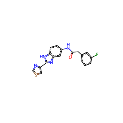 O=C(Cc1cccc(F)c1)Nc1ccc2[nH]c(-c3cscn3)nc2c1